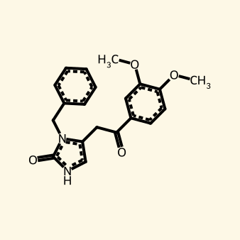 COc1ccc(C(=O)Cc2c[nH]c(=O)n2Cc2ccccc2)cc1OC